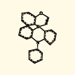 c1ccc(N2c3ccccc3[Si]3(c4ccccc4Oc4ccccc43)c3ccccc32)cc1